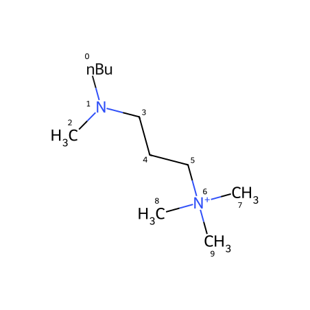 CCCCN(C)CCC[N+](C)(C)C